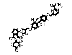 CC(=O)c1nccc(COc2ccc(C(C)(C)c3ccc(OCC4CCN(c5cccc6c5C(=O)N(C5CCC(=O)NC5=O)C6=O)C4)cc3)cc2)n1